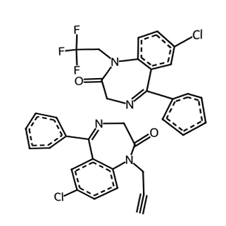 C#CCN1C(=O)CN=C(c2ccccc2)c2cc(Cl)ccc21.O=C1CN=C(c2ccccc2)c2cc(Cl)ccc2N1CC(F)(F)F